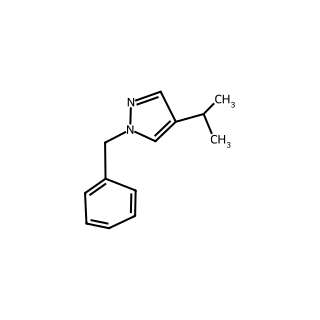 CC(C)c1cnn(Cc2ccccc2)c1